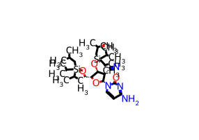 CC(C)C[Si](OC[C@H]1O[C@@H](n2ccc(N)nc2=O)[C@@H](C#N)[C@@H]1O[Si](CC(C)C)(C(C)C)C(C)C)(C(C)C)C(C)C